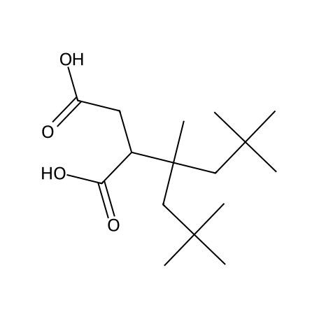 CC(C)(C)CC(C)(CC(C)(C)C)C(CC(=O)O)C(=O)O